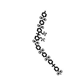 Cc1ccc(S(=O)(=O)c2ccc(S(=O)(=O)c3ccc(C(C)(C)c4ccc(S(=O)(=O)Cc5ccc(S(=O)(=O)c6ccc(S(=O)(=O)c7ccc(C(C)(C)c8ccc(S(C)(=O)=O)cc8)cc7)cc6)cc5)cc4C[N+](C)(C)C)c(C[N+](C)(C)C)c3)cc2)cc1